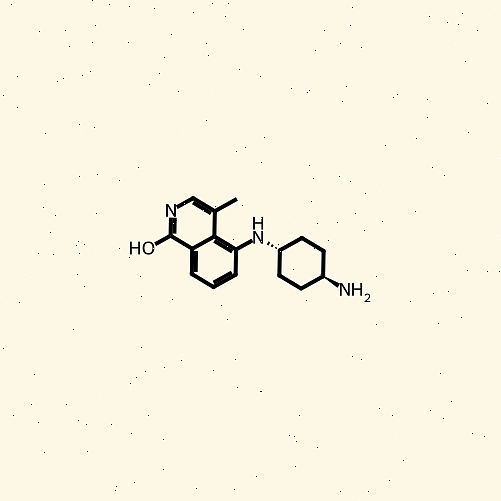 Cc1cnc(O)c2cccc(N[C@H]3CC[C@H](N)CC3)c12